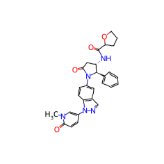 Cn1cc(-n2ncc3cc(N4C(=O)C[C@H](NC(=O)C5CCCO5)[C@H]4c4ccccc4)ccc32)ccc1=O